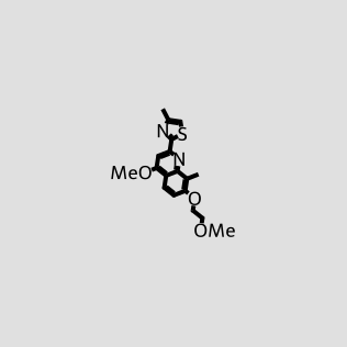 COCCOc1ccc2c(OC)cc(-c3nc(C)cs3)nc2c1C